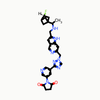 CC(NCc1cc2cnc(Cn3cnc(-c4cncc(N5C(=O)CCC5=O)c4)n3)cc2[nH]1)C12CC(C1)[C@@H](F)C2